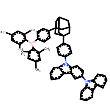 Cc1cc(C)c(B(c2ccc(C34CC5CC(C3)CC(c3ccc(-n6c7ccccc7c7cc(-n8c9ccccc9c9ccccc98)ccc76)cc3)(C5)C4)cc2)c2c(C)cc(C)cc2C)c(C)c1